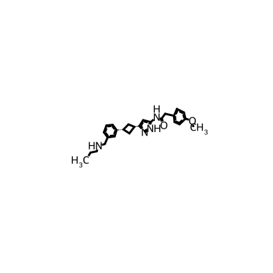 CCCNCc1cccc([C@H]2C[C@@H](c3cc(NC(=O)Cc4ccc(OC)cc4)[nH]n3)C2)c1